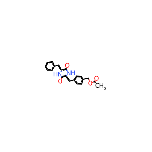 CC(=O)OCc1ccc(C=c2[nH]c(=O)c(=Cc3ccccc3)[nH]c2=O)cc1